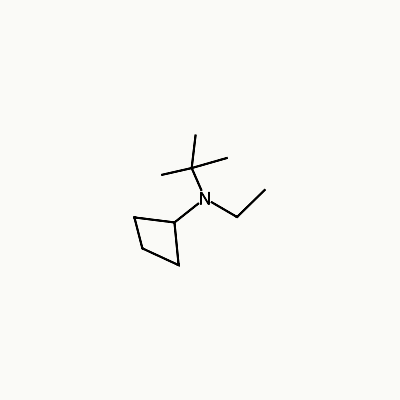 CCN(C1CCC1)C(C)(C)C